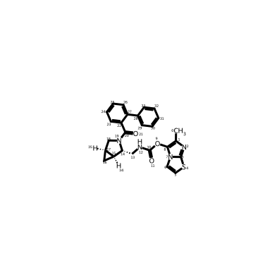 Cc1nc2sccn2c1OC(=O)NC[C@@H]1[C@H]2C[C@H]2CN1C(=O)c1ccccc1-c1ccccc1